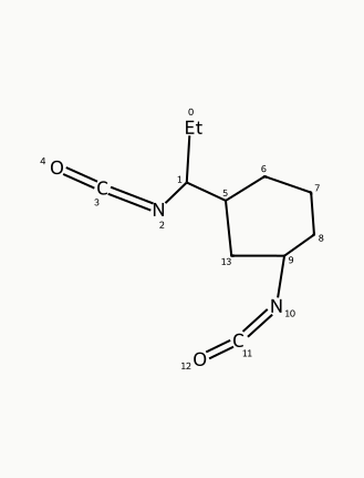 CCC(N=C=O)C1CCCC(N=C=O)C1